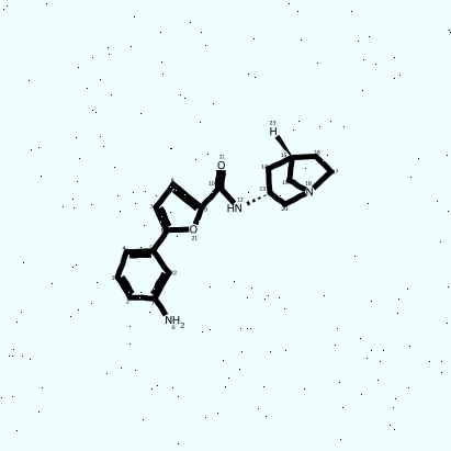 Nc1cccc(-c2ccc(C(=O)N[C@@H]3C[C@@H]4CCN(C4)C3)o2)c1